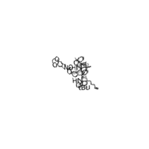 C=CCCCCC[C@H](NC(=O)OC(C)(C)C)C(=O)C1=CC[C@H](OC(=O)N2Cc3cc4c(cc3C2)OCCCO4)C[C@H]1C(=O)N[C@]1(C2OC(C)O2)C[C@H]1C=C